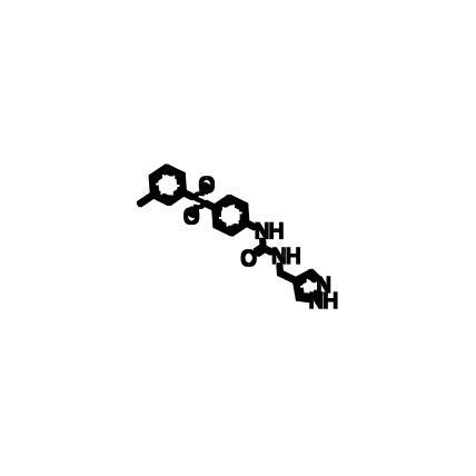 Cc1cccc(S(=O)(=O)c2ccc(NC(=O)NCc3cn[nH]c3)cc2)c1